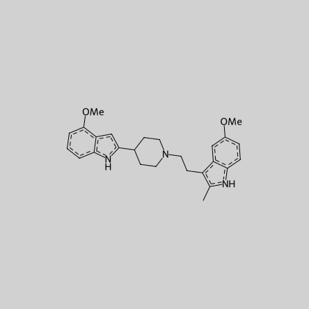 COc1ccc2[nH]c(C)c(CCN3CCC(c4cc5c(OC)cccc5[nH]4)CC3)c2c1